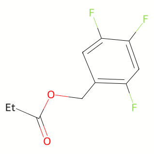 CCC(=O)OCc1cc(F)c(F)cc1F